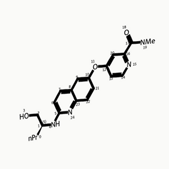 CCC[C@@H](CO)Nc1ccc2cc(Oc3ccnc(C(=O)NC)c3)ccc2n1